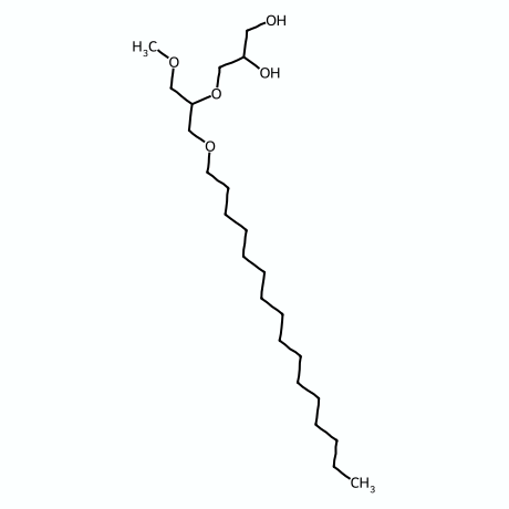 CCCCCCCCCCCCCCCCOCC(COC)OCC(O)CO